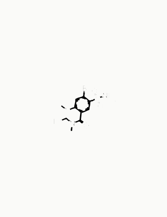 CSc1cc(Br)c(S(N)(=O)=O)cc1C(=O)N(C)CO